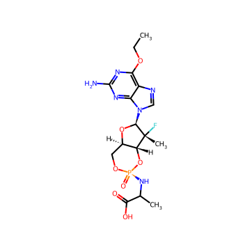 CCOc1nc(N)nc2c1ncn2[C@@H]1O[C@@H]2CO[P@](=O)(NC(C)C(=O)O)O[C@H]2[C@@]1(C)F